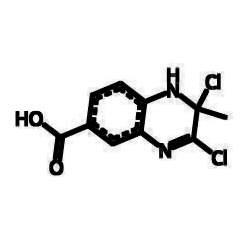 CC1(Cl)Nc2ccc(C(=O)O)cc2N=C1Cl